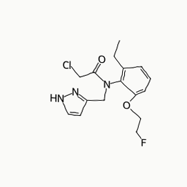 CCc1cccc(OCCF)c1N(Cc1cc[nH]n1)C(=O)CCl